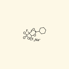 O=C(OC(C(F)(F)F)C(F)(F)S(=O)(=O)[O-])C1CCCCC1.[Na+]